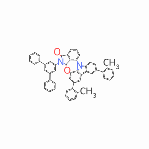 Cc1ccccc1-c1ccc2c(c1)c1cc(-c3ccccc3C)ccc1n2-c1cccc2c1C(=O)N(c1cc(-c3ccccc3)cc(-c3ccccc3)c1)C2=O